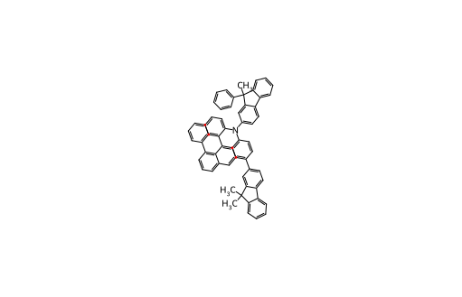 CC1(C)c2ccccc2-c2ccc(-c3ccc(N(c4ccc5c(c4)C(C)(c4ccccc4)c4ccccc4-5)c4ccccc4-c4cccc5cccc(-c6ccccc6)c45)cc3)cc21